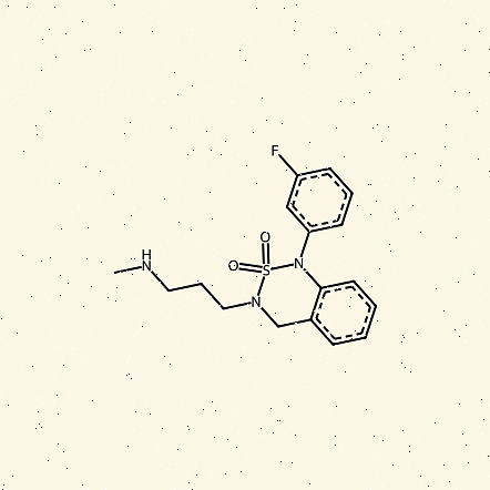 CNCCCN1Cc2ccccc2N(c2cccc(F)c2)S1(=O)=O